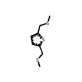 CSCc1ccc(CSC)s1